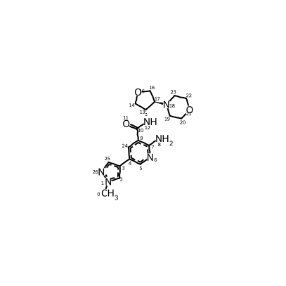 Cn1cc(-c2cnc(N)c(C(=O)N[C@@H]3COC[C@H]3N3CCOCC3)c2)cn1